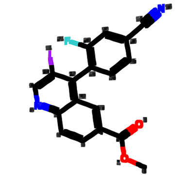 COC(=O)c1ccc2ncc(I)c(-c3ccc(C#N)cc3F)c2c1